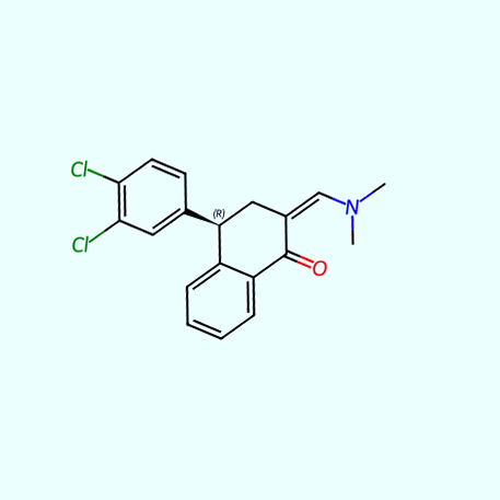 CN(C)C=C1C[C@H](c2ccc(Cl)c(Cl)c2)c2ccccc2C1=O